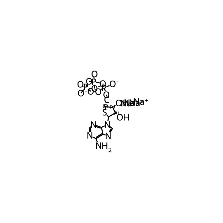 Nc1ncnc2c1ncn2C1S[C@H](COP(=O)([O-])OP(=O)([O-])OP(=O)([O-])[O-])[C@@H](O)[C@H]1O.[Na+].[Na+].[Na+].[Na+]